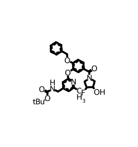 Cc1cc(CNC(=O)OC(C)(C)C)cc(Oc2cc(C(=O)N3CC(O)C(F)C3)ccc2OCc2ccccc2)n1